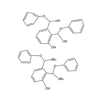 CCCC(Oc1ccccc1)c1cccc(O)c1C(CCC)Oc1ccccc1.CCCCC(Oc1ccccc1)c1cccc(O)c1C(CCCC)Oc1ccccc1